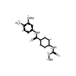 COc1cc(NC(=O)C2CCC(NC(=O)OC(C)(C)C)CC2)ccc1C